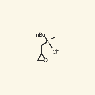 CCCC[N+](C)(C)CC1CO1.[Cl-]